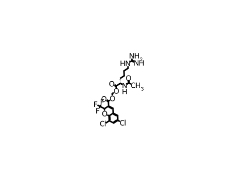 CC(=O)N[C@@H](CCCCNC(=N)N)C(=O)OCOC(=O)C1=Cc2cc(Cl)cc(Cl)c2OC1C(F)(F)F